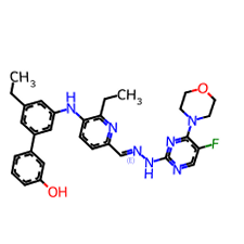 CCc1cc(Nc2ccc(/C=N/Nc3ncc(F)c(N4CCOCC4)n3)nc2CC)cc(-c2cccc(O)c2)c1